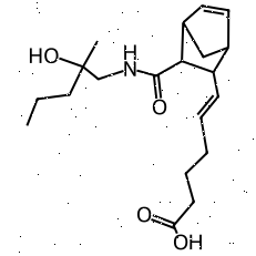 CCCC(C)(O)CNC(=O)C1C2C=CC(C2)C1C=CCCCC(=O)O